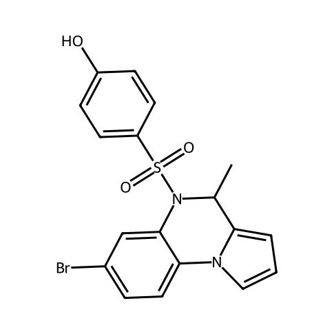 CC1c2cccn2-c2ccc(Br)cc2N1S(=O)(=O)c1ccc(O)cc1